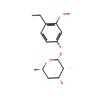 CCCCOc1cc(O[C@@H]2O[C@H](C(=O)O)[C@@H](O)[C@H](O)[C@H]2O)ccc1COC(C)=O